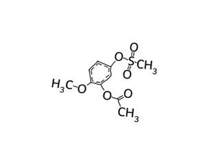 COc1ccc(OS(C)(=O)=O)cc1OC(C)=O